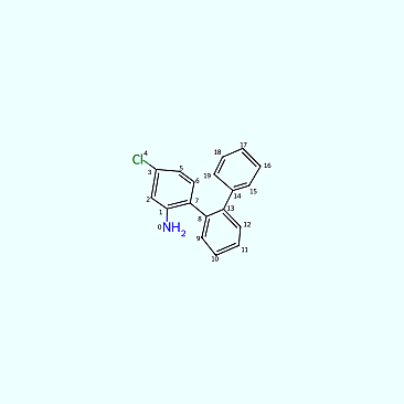 Nc1cc(Cl)ccc1-c1ccccc1-c1ccccc1